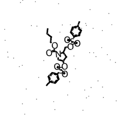 CCCCOC(=O)N1CC(OS(=O)(=O)c2ccc(C)cc2)CC1COS(=O)(=O)c1ccc(C)cc1